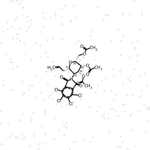 C=CC[C@@H]1O[C@H](COC(C)=O)[C@H](OC(C)=O)[C@H](OC(C)=O)[C@H]1N1C(=O)c2c(Cl)c(Cl)c(Cl)c(Cl)c2C1=O